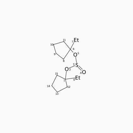 CCC1(OS(=O)OC2(CC)CCCC2)CCCC1